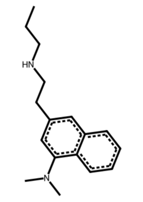 CCCNCCc1cc(N(C)C)c2ccccc2c1